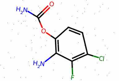 NC(=O)Oc1ccc(Cl)c(F)c1N